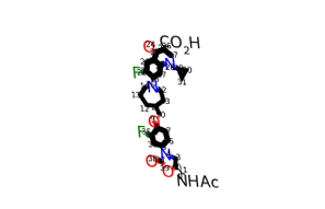 CC(=O)NC[C@H]1CN(c2ccc(OCC3CCCN(c4cc5c(cc4F)c(=O)c(C(=O)O)cn5C4CC4)CC3)c(F)c2)C(=O)O1